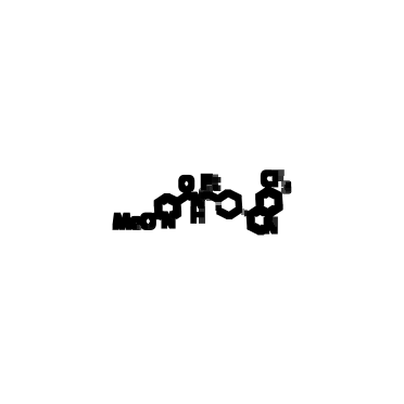 CC[C@@H](NC(=O)c1ccc(OC)nc1)[C@H]1CC[C@@H](c2ccnc3ccc(C(F)(F)F)cc32)CC1